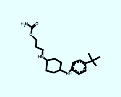 CC(C)(C)c1ccc(NC2CCC(NCCCOC(N)=O)CC2)cc1